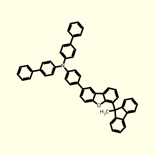 CC1(c2cccc3c2oc2ccc(-c4ccc(N(c5ccc(-c6ccccc6)cc5)c5ccc(-c6ccccc6)cc5)cc4)cc23)c2ccccc2-c2ccccc21